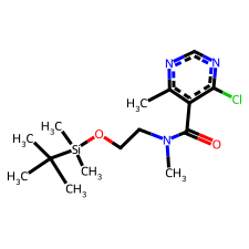 Cc1ncnc(Cl)c1C(=O)N(C)CCO[Si](C)(C)C(C)(C)C